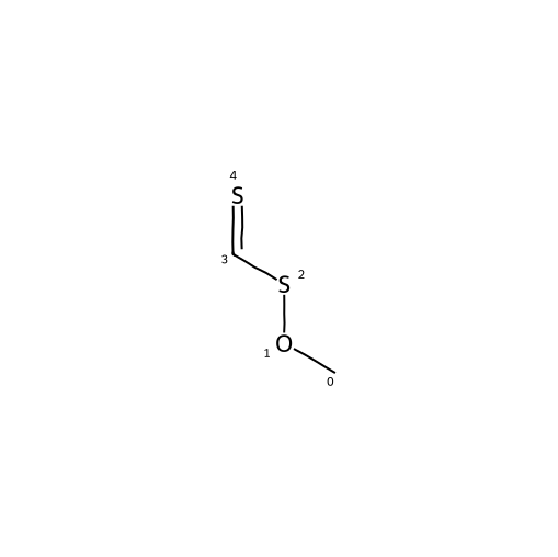 COSC=S